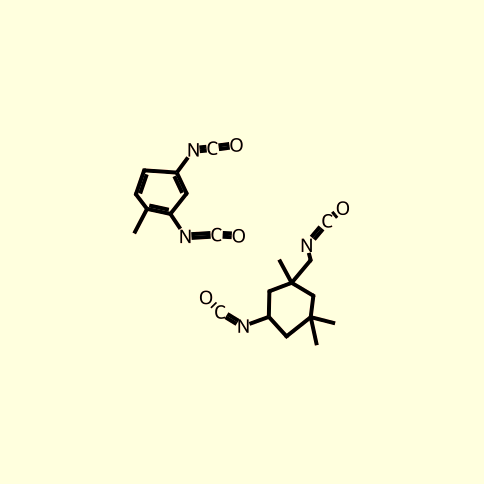 CC1(C)CC(N=C=O)CC(C)(CN=C=O)C1.Cc1ccc(N=C=O)cc1N=C=O